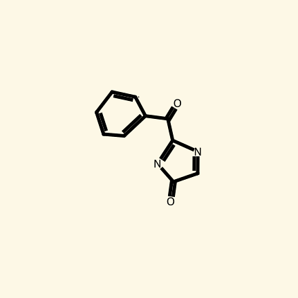 O=C1C=NC(C(=O)c2[c]cccc2)=N1